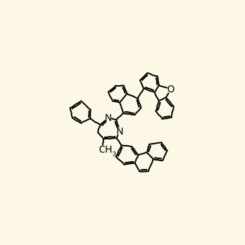 CC1=C(c2ccc3ccc4ccccc4c3c2)N=C(c2ccc(-c3cccc4oc5ccccc5c34)c3ccccc23)N=C(c2ccccc2)C1